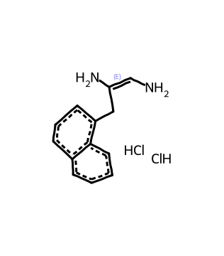 Cl.Cl.N/C=C(/N)Cc1cccc2ccccc12